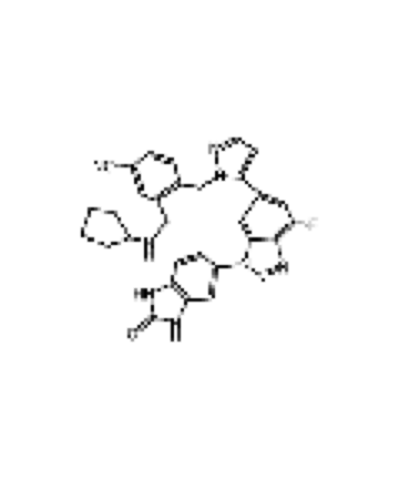 N#Cc1ccc(Cn2nccc2-c2cc(F)c3nnn(-c4ccc5[nH]c(=O)[nH]c5c4)c3c2)c(CNC2CCCC2)c1